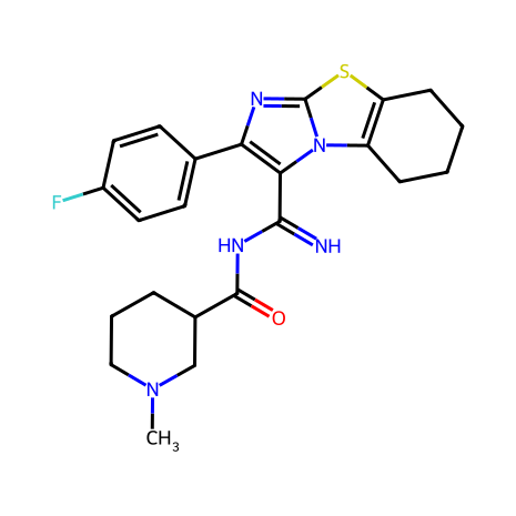 CN1CCCC(C(=O)NC(=N)c2c(-c3ccc(F)cc3)nc3sc4c(n23)CCCC4)C1